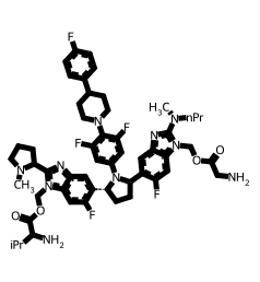 CCCN(C)c1nc2cc(C3CC[C@H](c4cc5nc(C6CCCN6C)n(COC(=O)C(N)C(C)C)c5cc4F)N3c3cc(F)c(N4CCC(c5ccc(F)cc5)CC4)c(F)c3)c(F)cc2n1COC(=O)CN